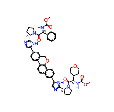 COC(=O)N[C@H](C(=O)N1CCC[C@H]1c1ncc(-c2ccc3c4c(ccc3c2)-c2ccc(-c3cnc([C@@H]5CCCN5C(=O)[C@H](NC(=O)OC)c5ccccc5)[nH]3)cc2CO4)[nH]1)C1CCOCC1